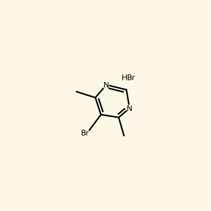 Br.Cc1ncnc(C)c1Br